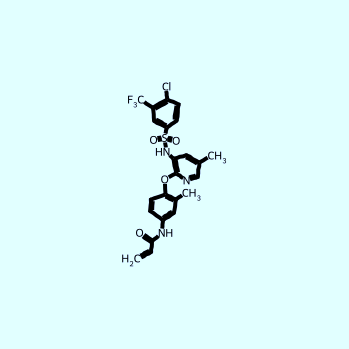 C=CC(=O)Nc1ccc(Oc2ncc(C)cc2NS(=O)(=O)c2ccc(Cl)c(C(F)(F)F)c2)c(C)c1